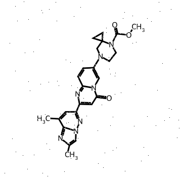 COC(=O)N1CCN(c2ccc3nc(-c4cc(C)c5nc(C)cn5n4)cc(=O)n3c2)CC12CC2